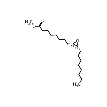 CCCCCCCC[C@H]1O[C@@H]1CCCCCCCC(=O)OC